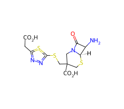 NC1C(=O)N2CC(CSc3nnc(CC(=O)O)s3)(C(=O)O)CS[C@H]12